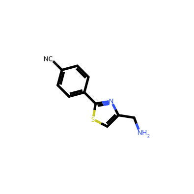 N#Cc1ccc(-c2nc(CN)cs2)cc1